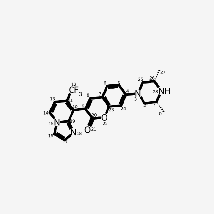 C[C@@H]1CN(c2ccc3cc(-c4c(C(F)(F)F)ccn5ccnc45)c(=O)oc3c2)C[C@H](C)N1